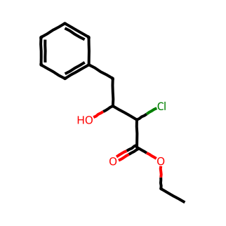 CCOC(=O)C(Cl)C(O)Cc1ccccc1